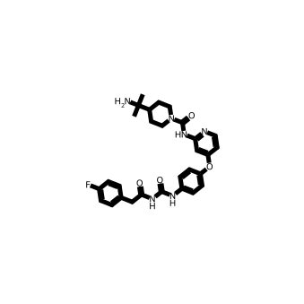 CC(C)(N)C1CCN(C(=O)Nc2cc(Oc3ccc(NC(=O)NC(=O)Cc4ccc(F)cc4)cc3)ccn2)CC1